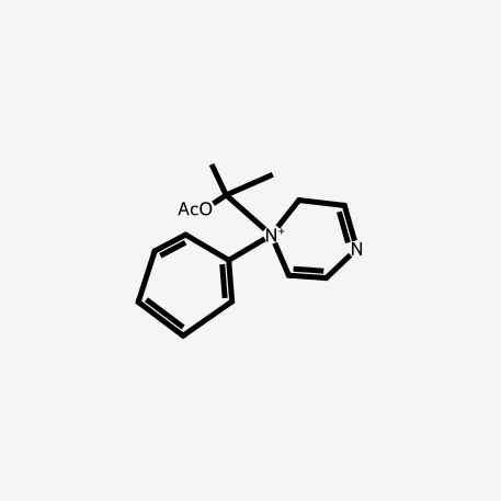 CC(=O)OC(C)(C)[N+]1(c2ccccc2)C=CN=CC1